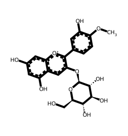 COc1ccc(-c2[o+]c3cc(O)cc(O)c3cc2O[C@@H]2O[C@H](CO)[C@@H](O)[C@H](O)[C@H]2O)cc1O